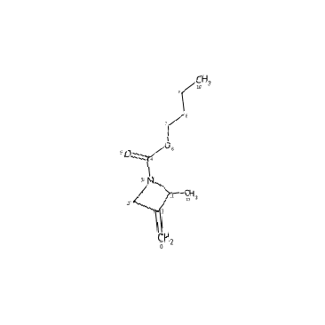 C=C1CN(C(=O)OCCCC)C1C